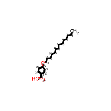 C=CCCCCCCCCCCCCOc1ccc(C(=O)O)cc1